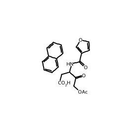 CC(=O)OCC(=O)C(CC(=O)O)NC(=O)c1ccoc1.c1ccc2ccccc2c1